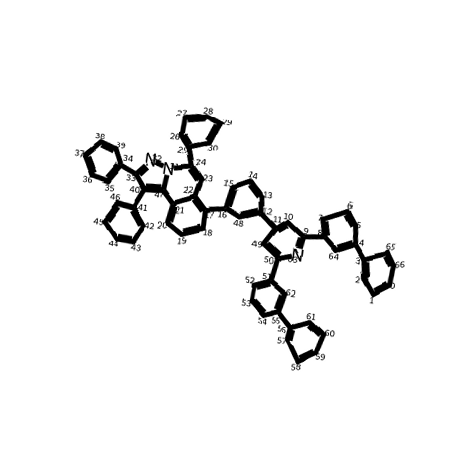 c1ccc(-c2cccc(-c3cc(-c4cccc(-c5cccc6c5cc(-c5ccccc5)n5nc(-c7ccccc7)c(-c7ccccc7)c65)c4)cc(-c4cccc(-c5ccccc5)c4)n3)c2)cc1